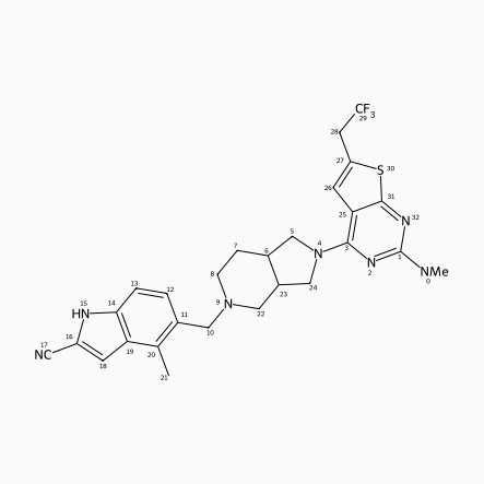 CNc1nc(N2CC3CCN(Cc4ccc5[nH]c(C#N)cc5c4C)CC3C2)c2cc(CC(F)(F)F)sc2n1